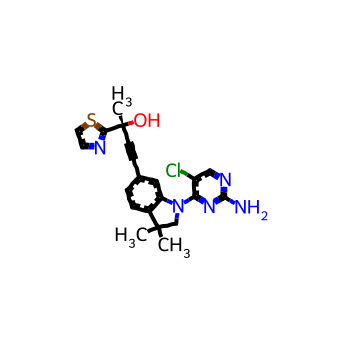 CC1(C)CN(c2nc(N)ncc2Cl)c2cc(C#C[C@@](C)(O)c3nccs3)ccc21